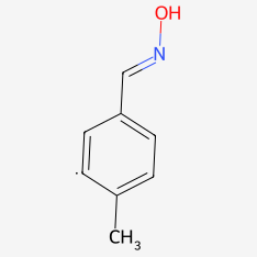 Cc1[c]cc(C=NO)cc1